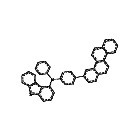 c1ccc(N(c2ccc(-c3ccc4ccc5c6ccccc6ccc5c4c3)cc2)c2cccc3sc4ccccc4c23)cc1